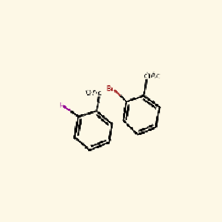 CC(=O)Oc1ccccc1Br.CC(=O)Oc1ccccc1I